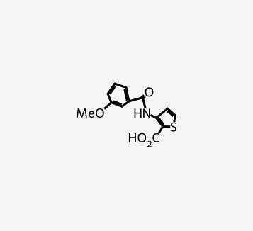 COc1cccc(C(=O)Nc2ccsc2C(=O)O)c1